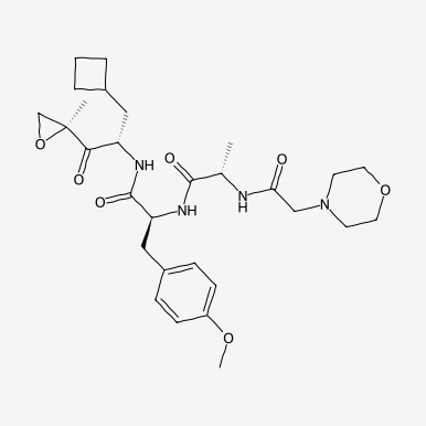 COc1ccc(C[C@H](NC(=O)[C@H](C)NC(=O)CN2CCOCC2)C(=O)N[C@@H](CC2CCC2)C(=O)[C@]2(C)CO2)cc1